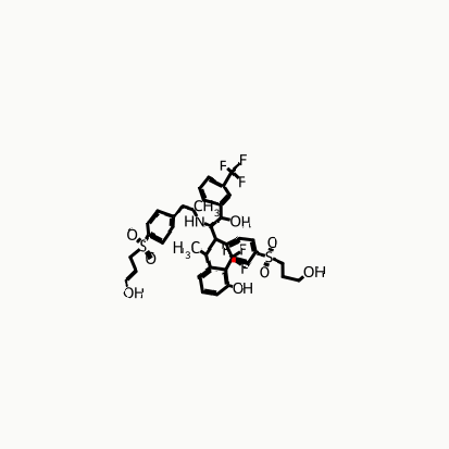 CC(Cc1ccc(S(=O)(=O)CCCO)cc1)NC(C(O)c1cccc(C(F)(F)F)c1)C(c1ccc(S(=O)(=O)CCCO)cc1)C(C)c1cccc(O)c1C(F)(F)F